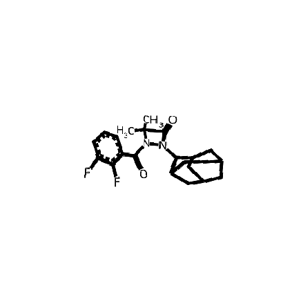 CC1(C)C(=O)N(C2C3CC4CC(C3)CC2C4)N1C(=O)c1cccc(F)c1F